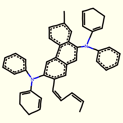 C/C=C\C=C/c1cc2cc(N(C3=CCCC=C3)c3ccccc3)c3cc(C)ccc3c2cc1N(C1=CCCC=C1)c1ccccc1